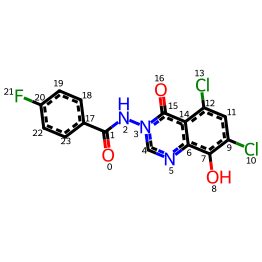 O=C(Nn1cnc2c(O)c(Cl)cc(Cl)c2c1=O)c1ccc(F)cc1